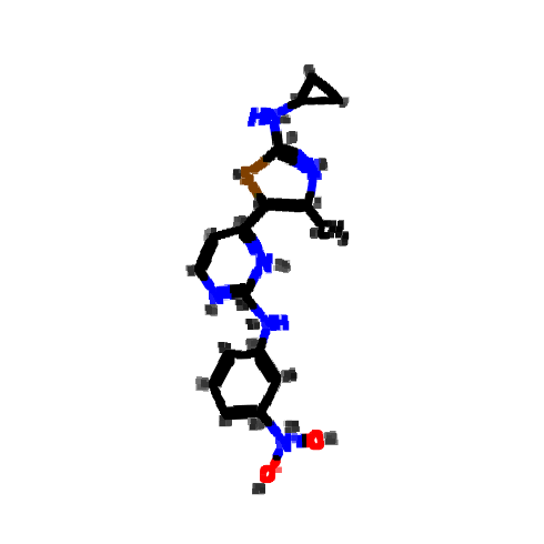 Cc1nc(NC2CC2)sc1-c1ccnc(Nc2cccc([N+](=O)[O-])c2)n1